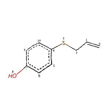 C=CCSc1ccc(O)cc1